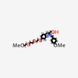 COCCOCCOCCOc1ccc(C[C@@H](CO)NCc2ccc(OC)cc2)cc1